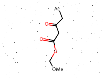 COCOC(=O)CC(=O)CC(C)=O